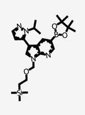 CC(C)n1nccc1-c1cn(COCC[Si](C)(C)C)c2ncc(B3OC(C)(C)C(C)(C)O3)cc12